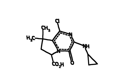 CC1(C)CC(C(=O)O)n2c1c(Cl)nc(NC1CC1)c2=O